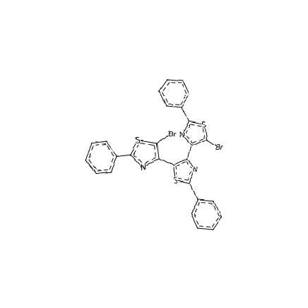 Brc1sc(-c2ccccc2)nc1-c1nc(-c2ccccc2)sc1-c1nc(-c2ccccc2)sc1Br